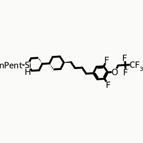 CCCCC[Si@H]1CC[C@H]([C@H]2CC[C@H](CCCCc3cc(F)c(OCC(F)(F)C(F)(F)F)c(F)c3)CC2)CC1